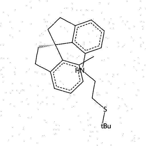 Cc1cccc2c1[C@@]1(CC2)CCc2cccc(NCCSC(C)(C)C)c21